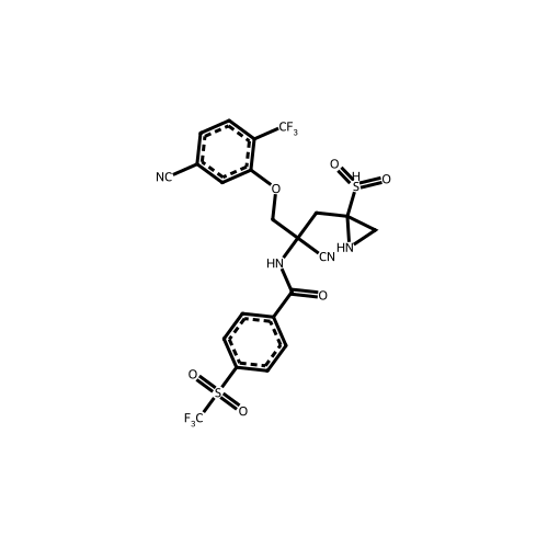 N#Cc1ccc(C(F)(F)F)c(OCC(C#N)(CC2([SH](=O)=O)CN2)NC(=O)c2ccc(S(=O)(=O)C(F)(F)F)cc2)c1